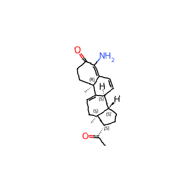 CC(=O)[C@H]1CC[C@H]2[C@@H]3C=CC4=C(N)C(=O)CC[C@]4(C)C3=CC[C@]12C